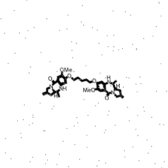 C=C1C[C@H]2C(C)Nc3cc(OCCCCCOc4cc5c(cc4OC)C(=O)N4CC(=C)C[C@H]4C(C)N5)c(OC)cc3C(=O)N2C1